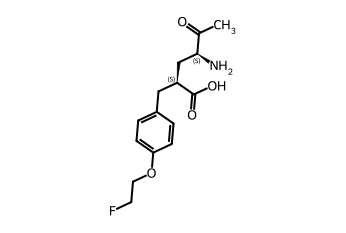 CC(=O)[C@@H](N)C[C@H](Cc1ccc(OCCF)cc1)C(=O)O